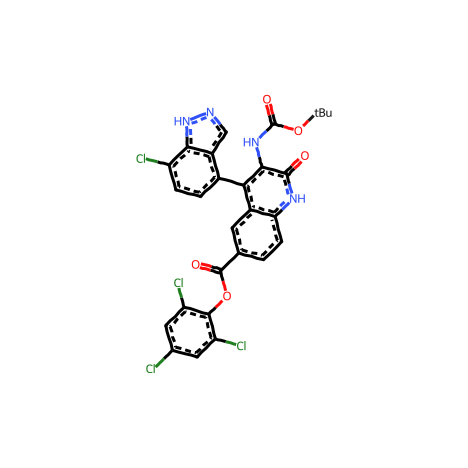 CC(C)(C)OC(=O)Nc1c(-c2ccc(Cl)c3[nH]ncc23)c2cc(C(=O)Oc3c(Cl)cc(Cl)cc3Cl)ccc2[nH]c1=O